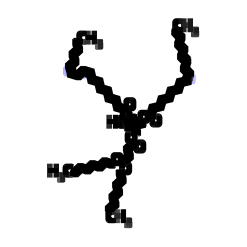 CCCCCC=CC/C=C\CCCCCCCC(=O)OCC(CO)(COC(=O)CCCCCCC/C=C\C/C=C\CCCCC)COC(=O)CCC(OCCCCCCCC)OCCCCCCCC